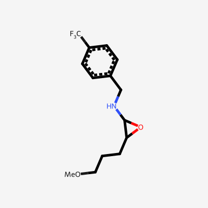 COCCCC1OC1NCc1ccc(C(F)(F)F)cc1